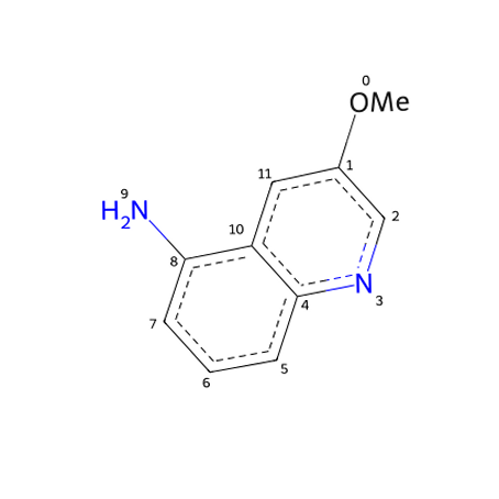 COc1cnc2cccc(N)c2c1